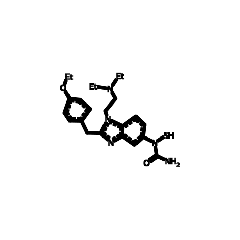 CCOc1ccc(Cc2nc3cc(N(S)C(N)=O)ccc3n2CCN(CC)CC)cc1